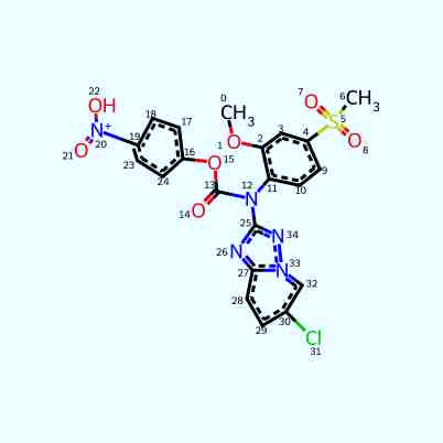 COc1cc(S(C)(=O)=O)ccc1N(C(=O)Oc1ccc([N+](=O)O)cc1)c1nc2ccc(Cl)cn2n1